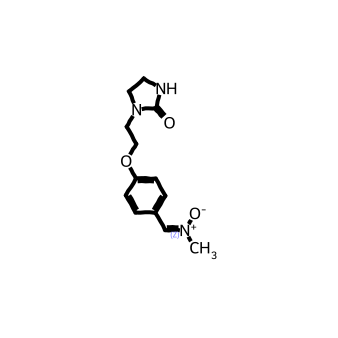 C/[N+]([O-])=C/c1ccc(OCCN2CCNC2=O)cc1